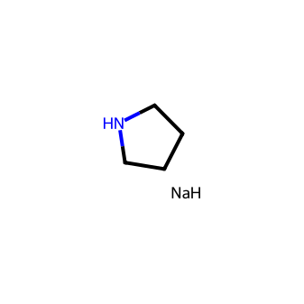 C1CCNC1.[NaH]